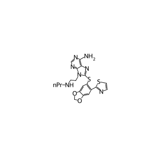 CCCNCCn1c(Sc2cc3c(cc2-c2nccs2)OCO3)nc2c(N)ncnc21